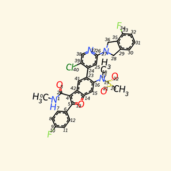 CNC(=O)c1c(-c2ccc(F)cc2)oc2cc(N(C)S(C)(=O)=O)c(-c3cc(N4Cc5cccc(F)c5C4)ncc3Cl)cc12